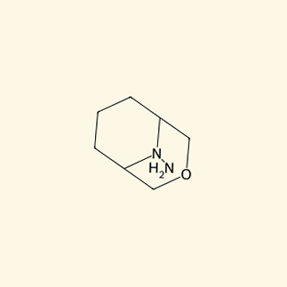 NN1C2CCCC1COC2